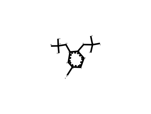 CC(C)(C)Cc1ccc(I)cc1CC(C)(C)C